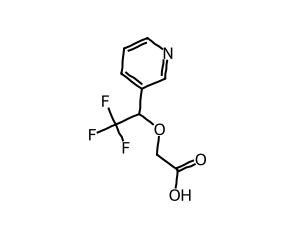 O=C(O)COC(c1cccnc1)C(F)(F)F